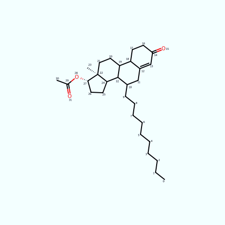 CCCCCCCCCCC1CC2=CC(=O)CCC2C2CC[C@@]3(C)C(CC[C@@H]3OC(C)=O)C12